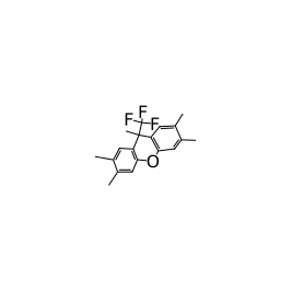 Cc1cc2c(cc1C)C(C)(C(F)(F)F)c1cc(C)c(C)cc1O2